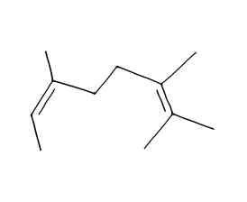 CC=C(C)C[CH]C(C)=C(C)C